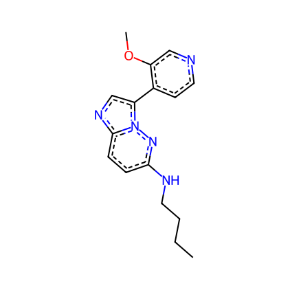 CCCCNc1ccc2ncc(-c3ccncc3OC)n2n1